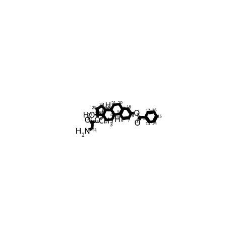 C[C@]12CC[C@@H]3c4ccc(OC(=O)c5ccccc5)cc4CC[C@H]3[C@@H]1CC[C@@]2(O)OC(=O)CN